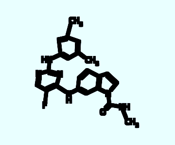 CNC(=O)n1ccc2ccc(Nc3nc(Nc4cc(C)cc(C)c4)ncc3F)cc21